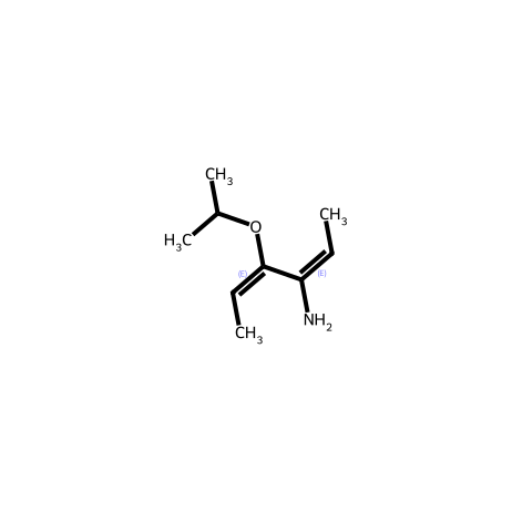 C/C=C(N)\C(=C/C)OC(C)C